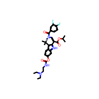 CCN(CC)CCNC(=O)Oc1ccc2c3c([nH]c2c1)C(C(=O)OC(C)C)=CN(C(=O)c1ccc(F)c(F)c1)CC3(C)C